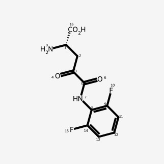 N[C@@H](CC(=O)C(=O)Nc1c(F)cccc1F)C(=O)O